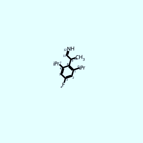 CC(C)c1cc(F)cc(C(C)C)c1C(C)C=N